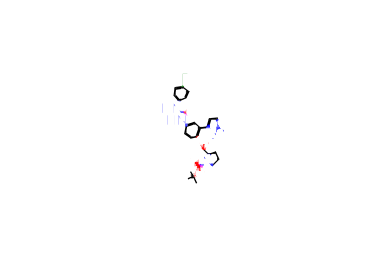 Cn1nccc1-c1cc(NC(=O)Nc2ccc(F)cc2)ccc1OCC1CCCN1C(=O)OC(C)(C)C